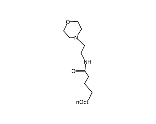 CCCCCCCCCCCC(=O)NCCN1CCOCC1